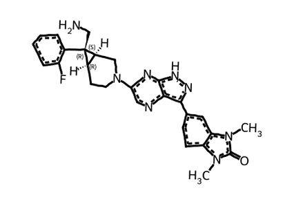 Cn1c(=O)n(C)c2cc(-c3n[nH]c4nc(N5CC[C@@H]6[C@H](C5)[C@@]6(CN)c5ccccc5F)cnc34)ccc21